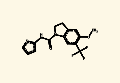 COc1cc2c(cc1C(F)(F)F)N(C(=O)Nc1cccs1)CC2